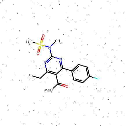 COC(=O)c1c(CC(C)C)nc(N(C)S(C)(=O)=O)nc1-c1ccc(F)cc1